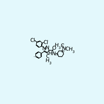 Cc1c(C(=O)N[C@H]2CCC[C@@H](N(C)C)C2)nn(-c2ccc(Cl)cc2Cl)c1-c1cc[c]cc1